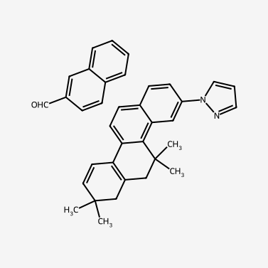 CC1(C)C=CC2=C(C1)CC(C)(C)c1c2ccc2ccc(-n3cccn3)cc12.O=Cc1ccc2ccccc2c1